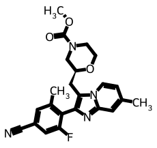 COC(=O)N1CCO[C@@H](Cc2c(-c3c(C)cc(C#N)cc3F)nc3cc(C)ccn23)C1